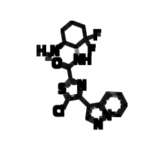 N[C@H]1CCCC(F)(F)[C@@H]1NC(=O)c1nc(-c2cnn3ccccc23)c(Cl)s1